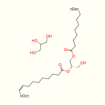 CCCCCCCC/C=C\CCCCCCCC(=O)O[C@@H](CO)COC(=O)CCCCCCCCCCCCCCCCC.OCC(O)CO